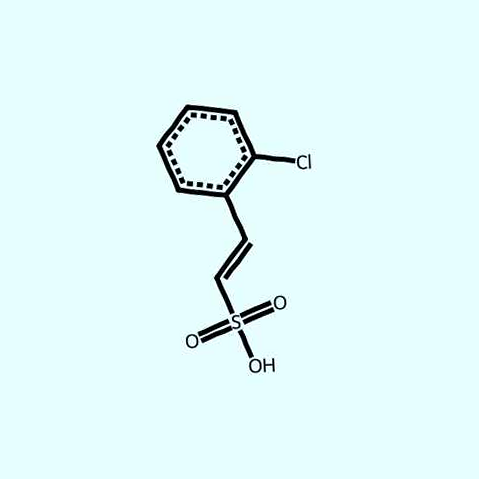 O=S(=O)(O)C=Cc1ccccc1Cl